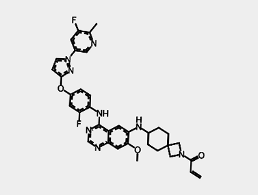 C=CC(=O)N1CC2(CCC(Nc3cc4c(Nc5ccc(Oc6ccn(-c7cnc(C)c(F)c7)n6)cc5F)ncnc4cc3OC)CC2)C1